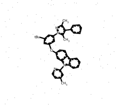 Cc1ccnc(-n2c3ccccc3c3ccc(Oc4cc(-n5nc(C)c(-c6ccccc6)c5C)cc(C(C)(C)C)c4)cc32)c1